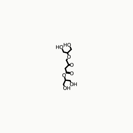 O=C(COC(CO)CO)CC(=O)OC(CO)CO